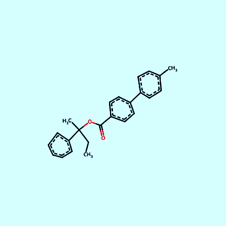 CCC(C)(OC(=O)c1ccc(-c2ccc(C)cc2)cc1)c1ccccc1